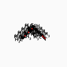 CC[N+](CC)(CC)CC.CC[N+](CC)(CC)CC.CC[N+](CC)(CC)CC.CC[N+](CC)(CC)CC.CC[N+](CC)(CC)CC.CC[N+](CC)(CC)CC.CC[N+](CC)(CC)CC.[I-].[I-].[I-].[I-].[I-].[I-].[I-]